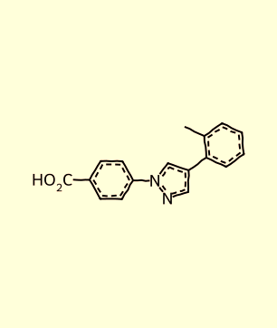 Cc1ccccc1-c1cnn(-c2ccc(C(=O)O)cc2)c1